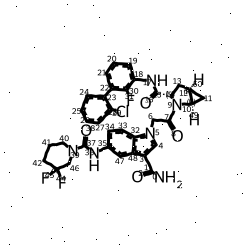 NC(=O)c1cn(CC(=O)N2[C@@H]3C[C@@H]3C[C@H]2C(=O)Nc2cccc(-c3ccccc3Cl)c2F)c2ccc(NC(=O)N3CCCC(F)(F)C3)cc12